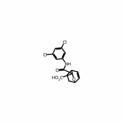 O=C(O)C1(C(=O)Nc2cc(Cl)cc(Cl)c2)OC2C=CC1CC2